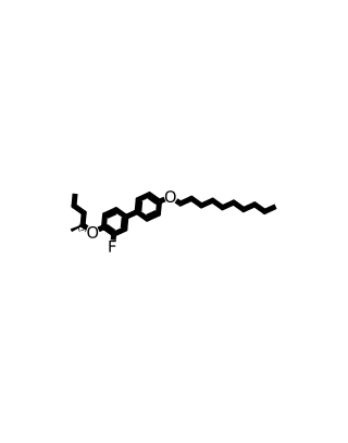 CCCCCCCCCCOc1ccc(-c2ccc(O[C@@H](C)CCC)c(F)c2)cc1